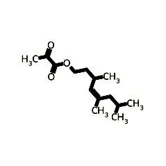 CC(=O)C(=O)OCCC(C)C=C(C)CC(C)C